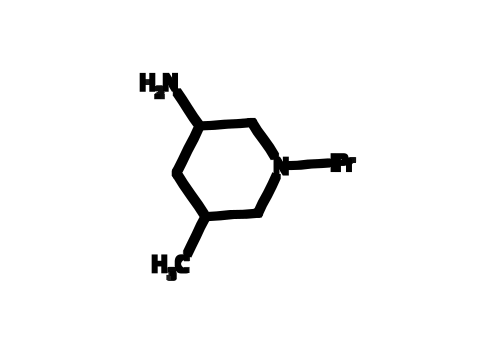 CC1CC(N)CN(C(C)C)C1